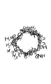 CCCC[C@H]1C(=O)N(C)[C@@H](CCCC)C(=O)N[C@@H](CCCN)C(=O)N[C@H](C(=O)NCC(N)=O)CSCC(=O)N[C@@H](Cc2ccc(O)cc2)C(=O)N(C)[C@@H](C)C(=O)N[C@@H](CC(N)=O)C(=O)N2CCC[C@H]2C(=O)N[C@@H](CN)C(=O)N[C@@H](C)C(=O)N2C[C@H](O)CC2C(=O)N[C@@H](CCc2c[nH]c3ccccc23)C(=O)N[C@@H](CO)C(=O)N[C@@H](Cc2csc3ccccc23)C(=O)N1C